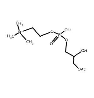 CC(=O)OCC(O)COP(=O)(O)OCC[N+](C)(C)C